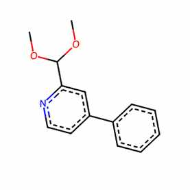 COC(OC)c1cc(-c2ccccc2)ccn1